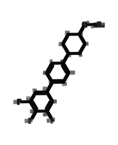 CCCCOC1CCC(c2ccc(-c3cc(F)c(F)c(F)c3)cc2)CC1